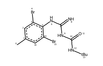 Cc1cc(Br)c(NC(=N)NC(=O)NC(C)(C)C)c(Br)c1